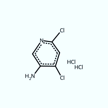 Cl.Cl.Nc1cnc(Cl)cc1Cl